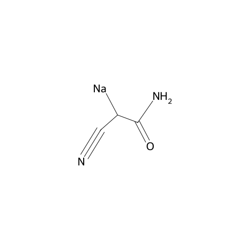 N#C[CH]([Na])C(N)=O